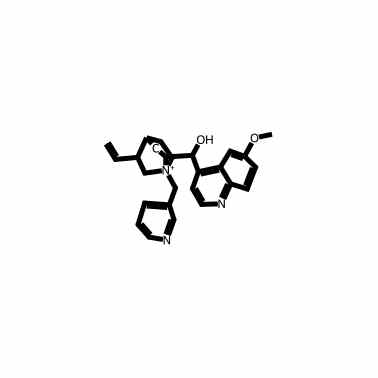 C=CC1C[N+]2(Cc3cccnc3)CCC1CC2C(O)c1ccnc2ccc(OC)cc12